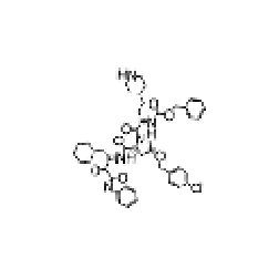 O=C(N[C@H](CCC1CCNCC1)C(=O)N1C[C@H](OCc2ccc(Cl)cc2)C[C@H]1C(=O)N[C@@H](CC1CCCCC1)C(=O)c1nc2ccccc2o1)OCc1ccccc1